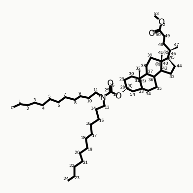 CCCCCCCCCCCCN(CCCCCCCCCCCC)C(=O)O[C@@H]1CC[C@@]2(C)C(CCC3C2CC[C@@]2(C)C3CC[C@@H]2[C@H](C)CCC(=O)OC)C1